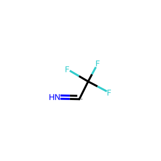 N=[C]C(F)(F)F